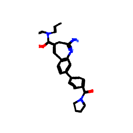 C/C=C/N(CCC)C(O)C1=Cc2ccc(-c3ccc(C(=O)N4CCCC4)cc3)cc2N=C(N)C1